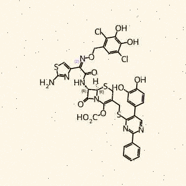 Nc1nc(/C(=N/OCc2cc(Cl)c(O)c(O)c2Cl)C(=O)N[C@@H]2C(=O)N3C(OC(=O)O)=C(CSc4nc(-c5ccccc5)ncc4-c4ccc(O)c(O)c4)CS[C@H]23)cs1